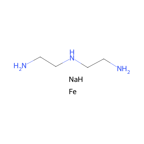 NCCNCCN.[Fe].[NaH]